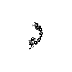 CCOC(=O)c1cnc(Nc2cnn(C)c2)nc1NC1CCC(N2CCN(CCCC3CCN(c4ccc5c(c4)C(=O)N(C4CCC(=O)NC4=O)C5=O)CC3)CC2)CC1